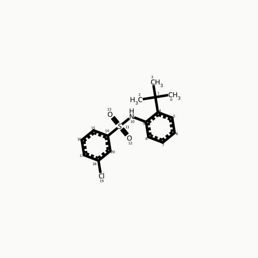 CC(C)(C)c1ccccc1NS(=O)(=O)c1cccc(Cl)c1